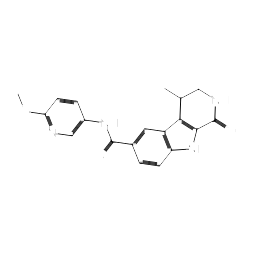 COc1ccc(NC(=O)c2ccc3[nH]c4c(c3c2)C(C)CNC4=O)cn1